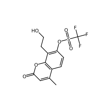 Cc1cc(=O)oc2c(CCO)c(OS(=O)(=O)C(F)(F)F)ccc12